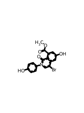 COC(=O)c1cc(O)cc2c(Br)cn(-c3ccc(O)cc3)c(=O)c12